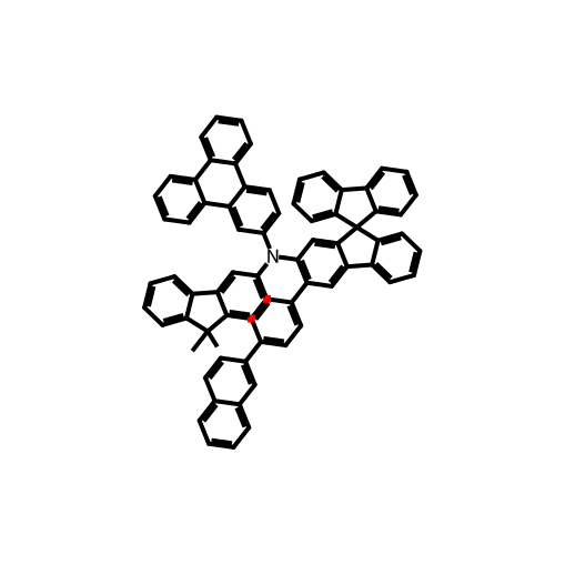 CC1(C)c2ccccc2-c2cc(N(c3ccc4c5ccccc5c5ccccc5c4c3)c3cc4c(cc3-c3ccc(-c5ccc6ccccc6c5)cc3)-c3ccccc3C43c4ccccc4-c4ccccc43)ccc21